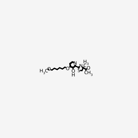 COCCCCCCOc1ccnc(C2=N[C@@](C)(C(C)=O)CS2)c1O